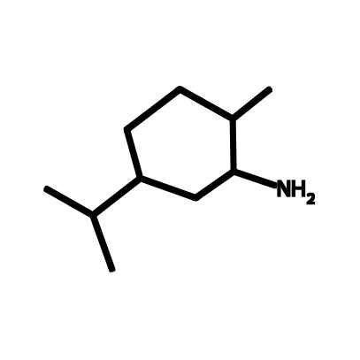 CC(C)C1CCC(C)C(N)C1